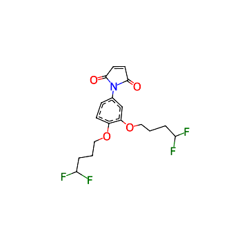 O=C1C=CC(=O)N1c1ccc(OCCCC(F)F)c(OCCCC(F)F)c1